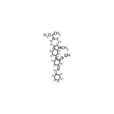 CC(C)N1CCc2c(n(C)c3cc(-n4ccc(OCc5ccccc5)cc4=O)ccc23)CC1.Cl